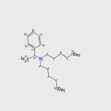 CCCCCCCCCCCCCCN(CCCCCCCCCCCCCC)C(C)c1ccccc1